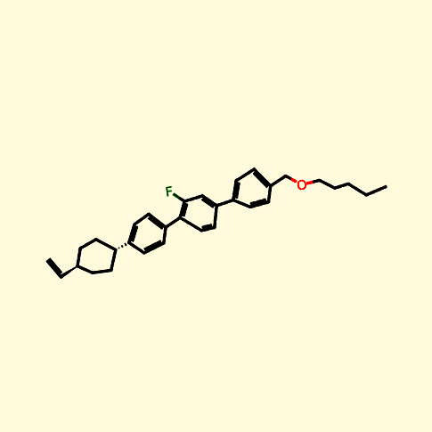 C=C[C@H]1CC[C@H](c2ccc(-c3ccc(-c4ccc(COCCCCC)cc4)cc3F)cc2)CC1